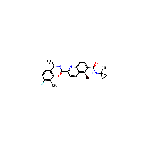 N#CC1(NC(=O)c2ccc3nc(C(=O)NC(c4ccc(F)c(C(F)(F)F)c4)C(F)(F)F)ccc3c2Br)CC1